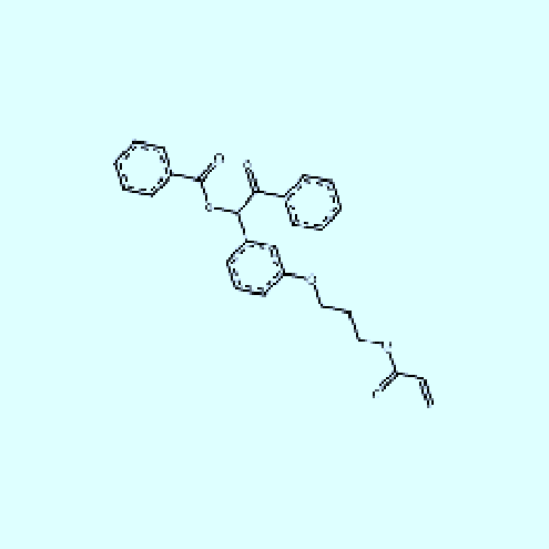 C=CC(=O)OCCCOc1cccc(C(OC(=O)c2ccccc2)C(=O)c2ccccc2)c1